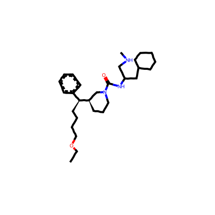 CCOCCCC[C@@H](c1ccccc1)[C@@H]1CCCN(C(=O)NC(CNC)CC2CCCCC2)C1